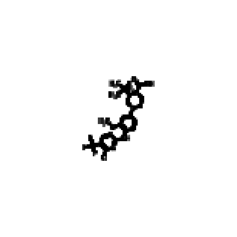 COc1cc(N2CCN(C(=O)O)C(C(C)(C)C)C2)ccc1Nc1ncc(C(F)(F)F)c(Cl)n1